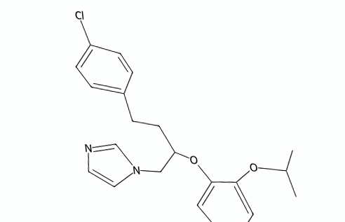 CC(C)Oc1ccccc1OC(CCc1ccc(Cl)cc1)Cn1ccnc1